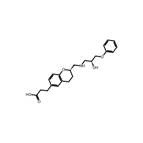 O=C(O)CCc1ccc2c(c1)CC[C@H](CNC[C@H](O)COc1ccccc1)O2